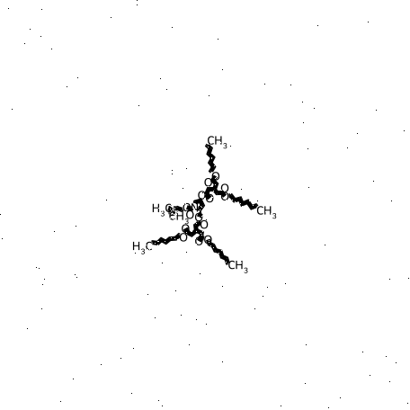 CCCCCCCCOC(=O)CC(CC(=O)OCCCCCCCC)CC(=O)OC[C@@H]1C[C@H](OC(=O)CC(CC(=O)OCCCCCCCC)CC(=O)OCCCCCCCC)CN1C(=O)OCCN(C)C